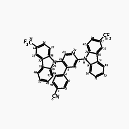 N#Cc1ccc(-c2cc(-n3c4ccccc4c4cc(C(F)(F)F)ccc43)ncc2-n2c3ccccc3c3cc(C(F)(F)F)ccc32)cc1